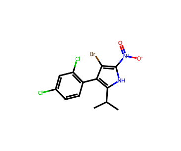 CC(C)c1[nH]c([N+](=O)[O-])c(Br)c1-c1ccc(Cl)cc1Cl